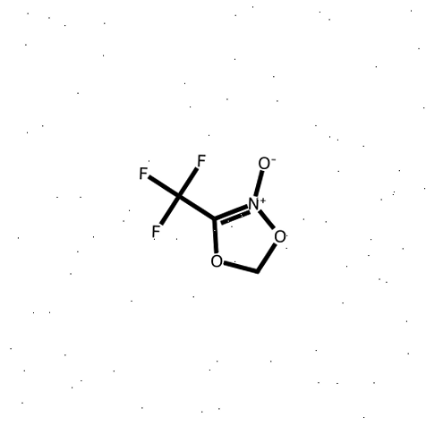 [O-][N+]1=C(C(F)(F)F)OCO1